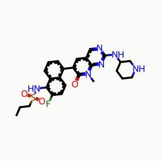 CCCS(=O)(=O)Nc1c(F)ccc2c(-c3cc4cnc(NC5CCCNC5)nc4n(C)c3=O)cccc12